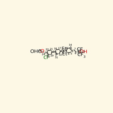 CCC(CC)(c1ccc(/C=C/C(O)(C(F)(F)F)C(F)(F)F)c(C)c1)c1ccc(-c2ccc(COC=O)c(Cl)c2)c(C)c1